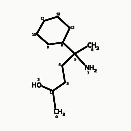 CC(O)CCC(C)(N)C1CCCCC1